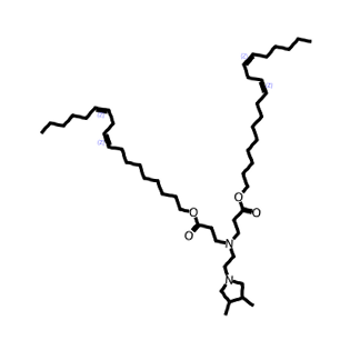 CCCCC/C=C\C/C=C\CCCCCCCCOC(=O)CCN(CCC(=O)OCCCCCCCC/C=C\C/C=C\CCCCC)CCN1CC(C)C(C)C1